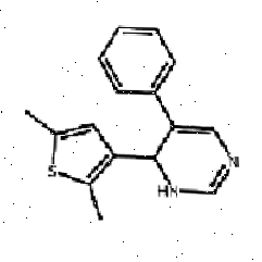 Cc1cc(C2NC=NC=C2c2ccccc2)c(C)s1